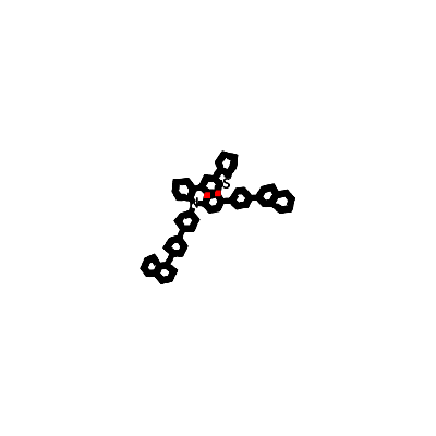 c1ccc(N(c2ccc(-c3ccc(-c4ccc5ccccc5c4)cc3)cc2)c2ccc(-c3ccc(-c4cccc5ccccc45)cc3)cc2)c(-c2ccc3sc4ccccc4c3c2)c1